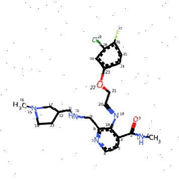 CNC(=O)c1ccnc(CNCC2CCN(C)C2)c1/N=C/COc1ccc(F)c(Cl)c1